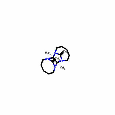 C=C1N2CCCCCN1[C@]1(C)N3CCCCCN(C3=C)[C@]21C